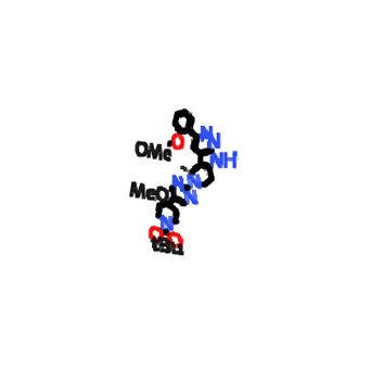 COCOc1ccccc1-c1cc2c3c([nH]c2nn1)CCN(c1ncc(C2(OC)CCN(C(=O)OC(C)(C)C)CC2)cn1)[C@@H]3C